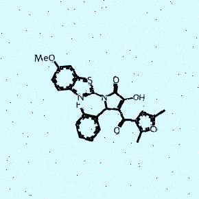 COc1ccc2nc(N3C(=O)C(O)=C(C(=O)c4cc(C)oc4C)C3c3ccccc3F)sc2c1